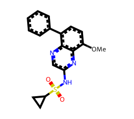 COc1ccc(-c2ccccc2)c2ncc(NS(=O)(=O)C3CC3)nc12